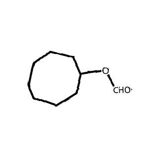 O=[C]OC1CCCCCCC1